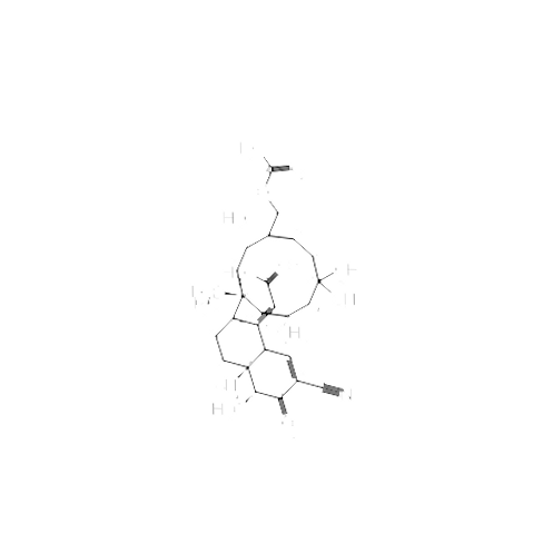 CC(=O)/C=C1/[C@@]2(C)C=C(C#N)C(=O)[C@@H](C)[C@@H]2CC[C@@]1(C)[C@@]1(C)CCCC(C)(C)CC[C@](C)(COC(C)=O)CC1